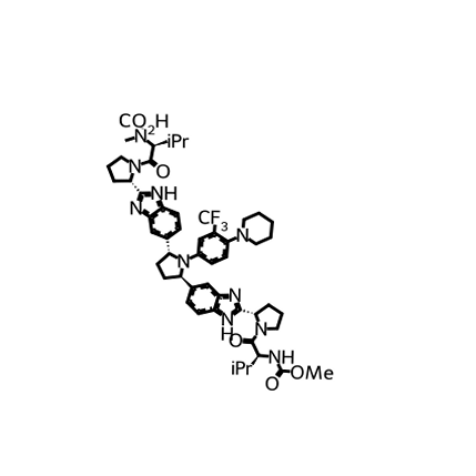 COC(=O)N[C@H](C(=O)N1CCC[C@H]1c1nc2cc([C@H]3CC[C@H](c4ccc5[nH]c([C@@H]6CCCN6C(=O)[C@H](C(C)C)N(C)C(=O)O)nc5c4)N3c3ccc(N4CCCCC4)c(C(F)(F)F)c3)ccc2[nH]1)C(C)C